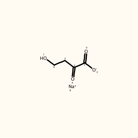 O=C([O-])C(=O)CCO.[Na+]